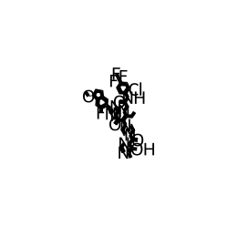 CCc1c(N2CCN(C(=O)c3ncnc(C)c3O)CC2)c(=O)n2nc(-c3cc4c(cc3F)[C@H](OC)CC4)nc2n1CC(=O)Nc1ccc(C(F)(F)F)cc1Cl